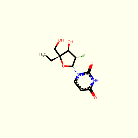 CC[C@]1(CO)O[C@@H](n2ccc(=O)[nH]c2=O)[C@@H](F)[C@@H]1O